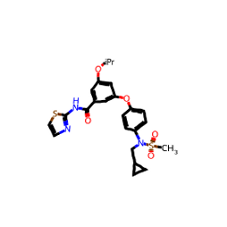 CC(C)Oc1cc(Oc2ccc(N(CC3CC3)S(C)(=O)=O)cc2)cc(C(=O)Nc2nccs2)c1